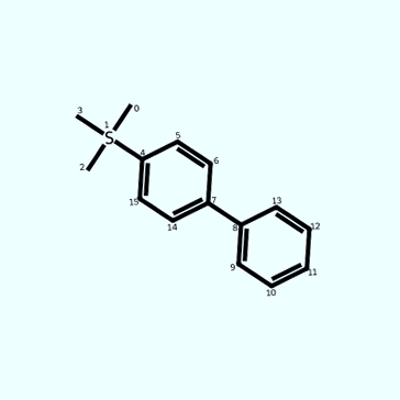 CS(C)(C)c1ccc(-c2ccccc2)cc1